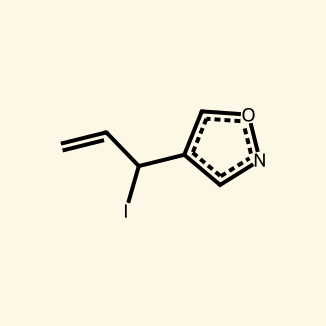 C=CC(I)c1cnoc1